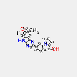 CC(C)(C=O)Cc1c[nH]c2ncc(-c3cccc(N4CCC[C@H]4CO)c3)nc12